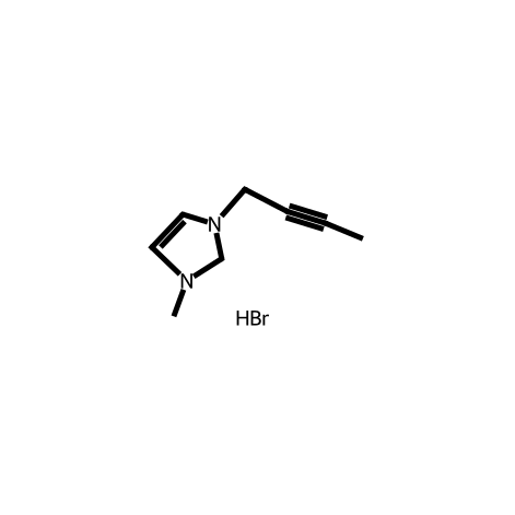 Br.CC#CCN1C=CN(C)C1